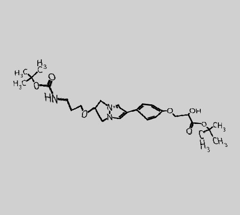 CC(C)(C)OC(=O)NCCCOC1Cn2cc(-c3ccc(OCC(O)C(=O)OC(C)(C)C)cc3)c[n+]2C1